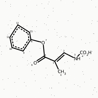 CC(=CNC(=O)O)C(=O)Oc1ccccc1